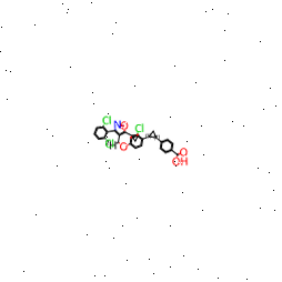 [2H]C(Oc1ccc([C@H]2C[C@H]2c2ccc(C(=O)O)cc2)c(Cl)c1)c1c(-c2c(Cl)cccc2Cl)noc1C1CC1